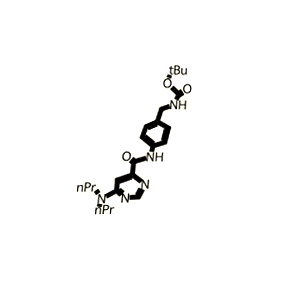 CCCN(CCC)c1cc(C(=O)Nc2ccc(CNC(=O)OC(C)(C)C)cc2)ncn1